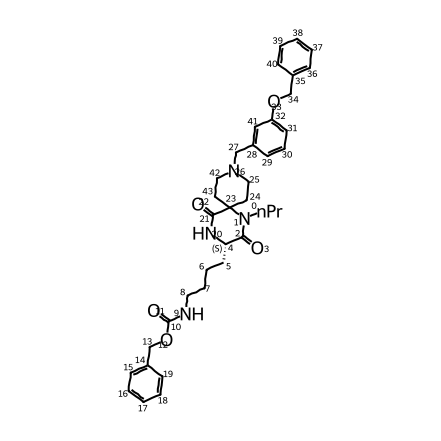 CCCN1C(=O)[C@H](CCCCNC(=O)OCc2ccccc2)NC(=O)C12CCN(Cc1cccc(OCc3ccccc3)c1)CC2